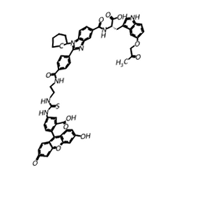 CC(=O)COc1ccc2[nH]cc(C[C@H](NC(=O)c3ccc4c(c3)nc(-c3ccc(C(=O)NCCNC(=S)Nc5ccc(-c6c7ccc(=O)cc-7oc7cc(O)ccc67)c(C(=O)O)c5)cc3)n4C3CCCCC3)C(=O)O)c2c1